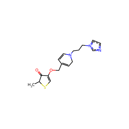 CC1SC=C(OCC2=CCN(CCCn3ccnc3)C=C2)C1=O